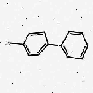 CCc1c[c]c(-c2ccccc2)cc1